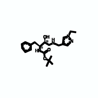 CCn1cc(CNC[C@@H](O)[C@H](Cc2ccccc2)NC(=O)OC(C)(C)C)cn1